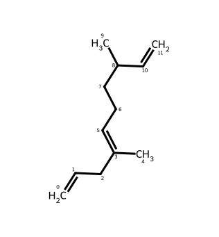 C=CCC(C)=CCCC(C)C=C